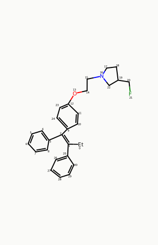 CCC(=C(c1cc[c]cc1)c1ccc(OCCN2CCC(CF)C2)cc1)c1ccccc1